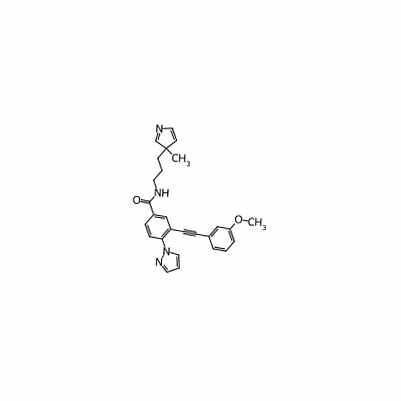 COc1cccc(C#Cc2cc(C(=O)NCCCC3(C)C=CN=C3)ccc2-n2cccn2)c1